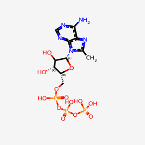 Cc1nc2c(N)ncnc2n1[C@@H]1O[C@H](COP(=O)(O)OP(=O)(O)OP(=O)(O)O)[C@H](O)C1O